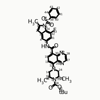 Cc1cc2cc(NC(=O)c3ccc(N4C[C@@H](C)N(C(=O)OC(C)(C)C)[C@@H](C)C4)c4nccnc34)cc(F)c2n1S(=O)(=O)c1ccccc1